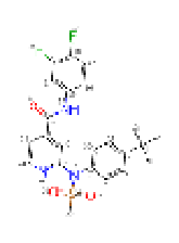 CC(C)(C)c1ccc(N(c2cc(C(=O)Nc3ccc(F)c(F)c3)ccn2)S(C)(=O)=O)cc1